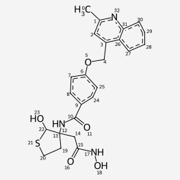 Cc1cc(COc2ccc(C(=O)NC3(CC(=O)NO)CCSC3O)cc2)c2ccccc2n1